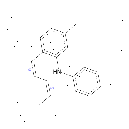 C/C=C\C=C/c1ccc(C)cc1Nc1ccccc1